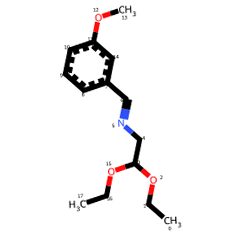 CCOC(CN=Cc1cccc(OC)c1)OCC